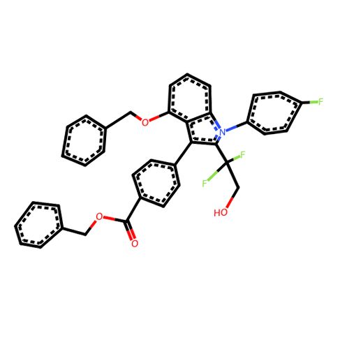 O=C(OCc1ccccc1)c1ccc(-c2c(C(F)(F)CO)n(-c3ccc(F)cc3)c3cccc(OCc4ccccc4)c23)cc1